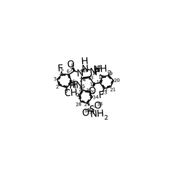 Cc1ccc(F)c(C(=O)N2NN(N)C(C(=O)c3c(F)cccc3F)=C2Nc2ccc(S(N)(=O)=O)cc2)c1F